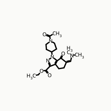 CCOC(=O)c1nn(C2CCN(C(C)=O)CC2)c2c1CC/C(=C/N(C)C)C2=O